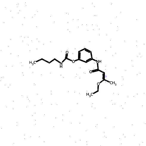 CCCCNC(=O)Oc1cccc(NC(=O)/C=C(/C)OCC)c1